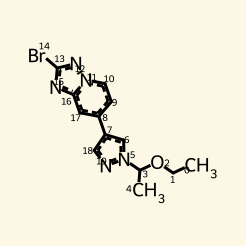 CCOC(C)n1cc(-c2ccn3nc(Br)nc3c2)cn1